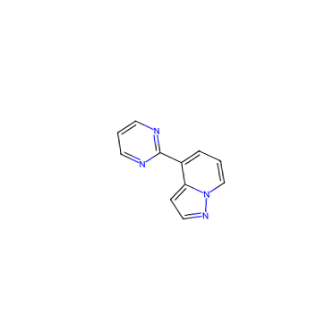 c1cnc(-c2cccn3nccc23)nc1